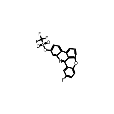 O=S(=O)(Oc1ccc2c(c1)nc1c3c(cccc32)Oc2ccc(F)cc2-1)C(F)(F)F